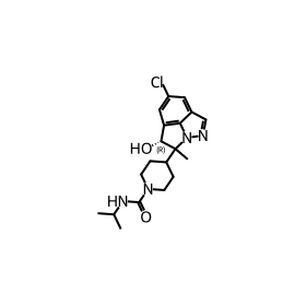 CC(C)NC(=O)N1CCC(C2(C)[C@H](O)c3cc(Cl)cc4cnn2c34)CC1